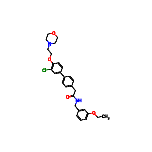 CCOc1cccc(CNC(=O)Cc2ccc(-c3ccc(OCCN4CCOCC4)c(Cl)c3)cc2)c1